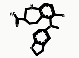 CN(c1ccc2c(c1)CCO2)c1c(Cl)ccc2c1CCC(C(=O)C(F)(F)F)CN2